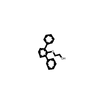 OCCOc1c(-c2ccccc2)cccc1-c1ccccc1